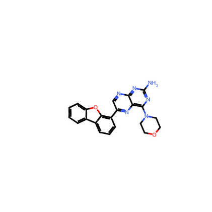 Nc1nc(N2CCOCC2)c2nc(-c3cccc4c3oc3ccccc34)cnc2n1